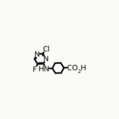 O=C(O)C1CCC(Nc2nc(Cl)ncc2F)CC1